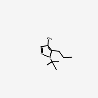 CCCc1c(O)cnn1C(C)(C)C